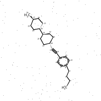 CCCCc1ccc(C#C[C@H]2CC[C@H]([C@H]3CC[C@H](C)CC3)CC2)cc1